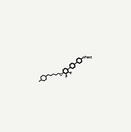 CCCCCc1ccc(-c2ccc(-c3ccc(OCCCCCC4CCC(C)CC4)c(F)c3F)cc2)cc1